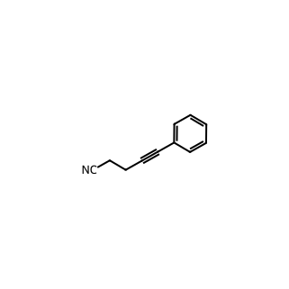 N#CCCC#Cc1ccccc1